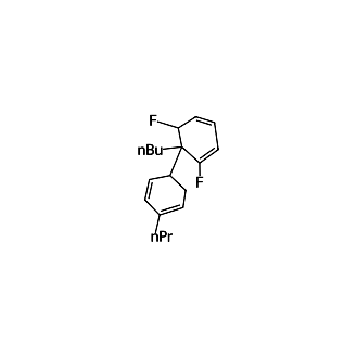 CCCCC1(C2C=CC(CCC)=CC2)C(F)=CC=CC1F